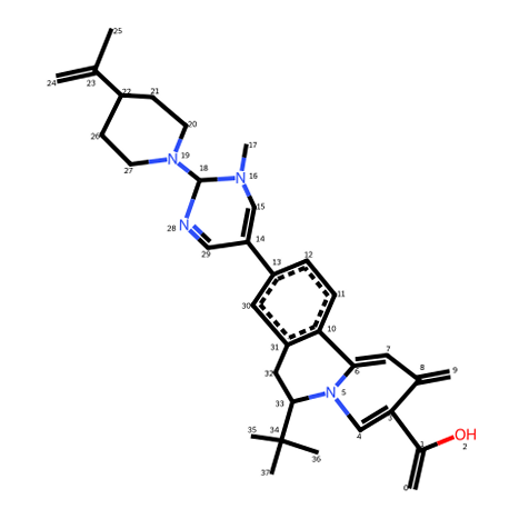 C=C(O)C1=CN2C(=CC1=C)c1ccc(C3=CN(C)C(N4CCC(C(=C)C)CC4)N=C3)cc1CC2C(C)(C)C